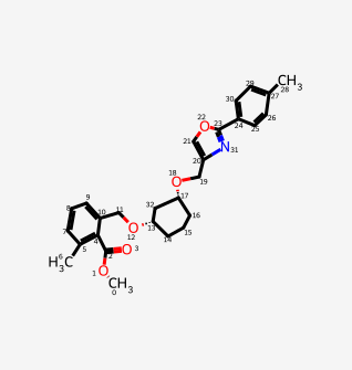 COC(=O)c1c(C)cccc1CO[C@H]1CCC[C@@H](OCc2coc(-c3ccc(C)cc3)n2)C1